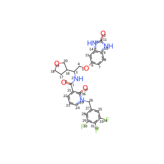 O=C(NC(COc1ccc2[nH]c(=O)[nH]c2c1)C1CCOC1)c1cccn(Cc2cc(F)c(F)c(F)c2)c1=O